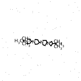 CC(C)(C)C1CN(C2CCN(C3CCN(C4CCN(C(C)(C)C)CC4)CC3)CC2)C1